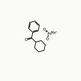 O=C([C]1CCCCC1)c1ccccc1.O=[As][O-].[Na+]